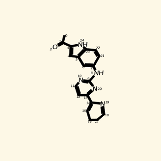 CC(=O)c1cc2cc(Nc3nccc(C4=CCCC=N4)n3)ccc2[nH]1